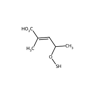 CC(=CC(C)OS)C(=O)O